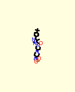 Cc1c(C(=O)N2CCC(N3CCC(N(C)S(C)(=O)=O)CC3)CC2)ncnc1-c1ccc(C(C)(C)C)cc1